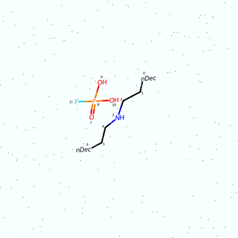 CCCCCCCCCCCCNCCCCCCCCCCCC.O=P(O)(O)F